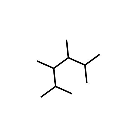 [CH2]C(C)C(C)C(C)C(C)C